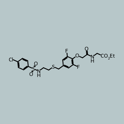 CCOC(=O)CNC(=O)COc1c(F)cc(CSCCNS(=O)(=O)c2ccc(Cl)cc2)cc1F